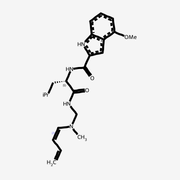 C=C/C=C\N(C)CNC(=O)[C@H](CC(C)C)NC(=O)c1cc2c(OC)cccc2[nH]1